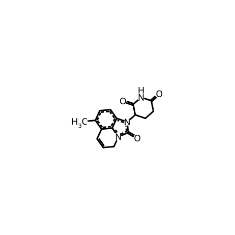 Cc1ccc2c3c1C=CCn3c(=O)n2C1CCC(=O)NC1=O